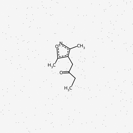 CCC(=O)Cc1c(C)noc1C